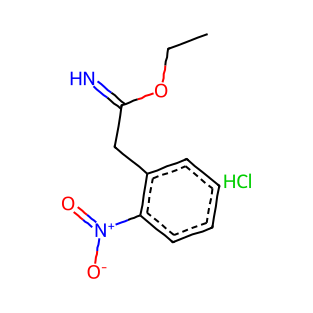 CCOC(=N)Cc1ccccc1[N+](=O)[O-].Cl